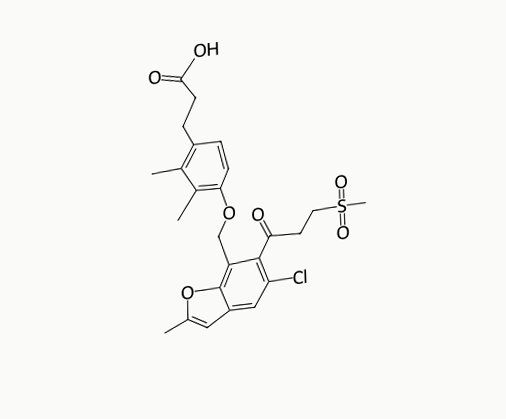 Cc1cc2cc(Cl)c(C(=O)CCS(C)(=O)=O)c(COc3ccc(CCC(=O)O)c(C)c3C)c2o1